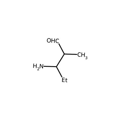 [CH2]CC(N)C(C)C=O